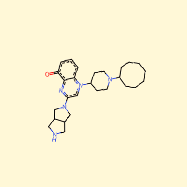 O=c1cccc2n(C3CCN(C4CCCCCCC4)CC3)cc(N3CC4CNCC4C3)nc1-2